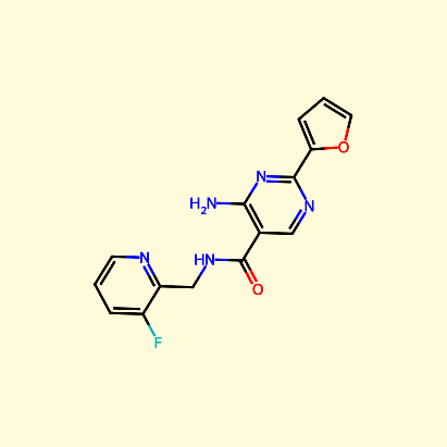 Nc1nc(-c2ccco2)ncc1C(=O)NCc1ncccc1F